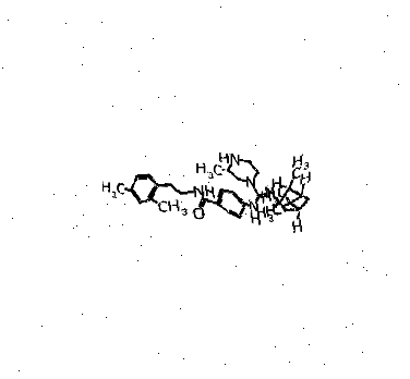 Cc1ccc(CCNC(=O)c2ccc(N/C(=N\[C@H]3C[C@H]4C[C@@H]([C@@H]3C)C4(C)C)N3CCN[C@@H](C)C3)cc2)c(C)c1